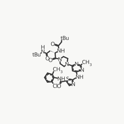 Cc1nc(Nc2ncc(C(=O)Nc3c(C)cccc3Cl)s2)cc(N2CCN(C(=O)[C@H](CC(=O)NC(C)(C)C)NC(=O)CC(C)(C)C)CC2)n1